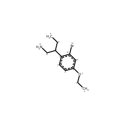 CCOc1ccc(C(CC)CN)c(Br)c1